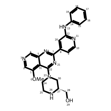 COc1cncc2nc(-c3ccnc(Nc4ccccc4)c3)nc(N3CCN[C@@H](CO)C3)c12